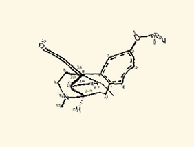 CCCCOc1ccc2c(c1)[C@]13CCN(C)[C@H](C2)[C@@H]1CCC(=O)C3